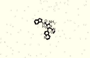 Nc1nc(-c2ncco2)c(-c2ccc3ncccc3c2)nc1C(=O)N[C@H]1CCc2ccccc21